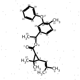 CC(C)=CC1C(C(=O)OC(C)c2ccc(C)c(Oc3ccccc3)c2)C1(C)C